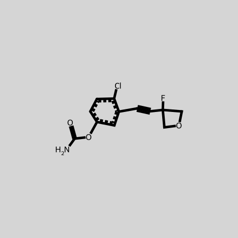 NC(=O)Oc1ccc(Cl)c(C#CC2(F)COC2)c1